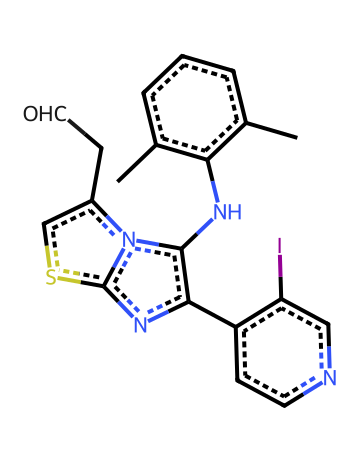 Cc1cccc(C)c1Nc1c(-c2ccncc2I)nc2scc(CC=O)n12